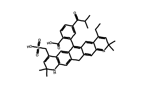 CCC1=CC(C)(C)N=c2cc3c(cc21)=C(c1cc(C(=O)C(C)C)ccc1C(=O)O)c1cc2c(cc1C3)NC(C)(C)C=C2CS(=O)(=O)O